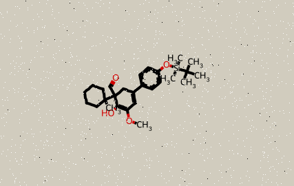 COC1=C(O)C(C=O)(C2(C)CCCCC2)CC(c2ccc(O[Si](C)(C)C(C)(C)C)cc2)=C1